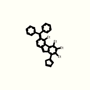 CCc1c(CC)c(C2=CC=CC2)c2c(c1CC)-c1c(CC)c(=C(c3ccccc3)c3ccccc3)ccc1=[C]2